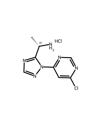 C[C@H](N)c1ncnn1-c1cc(Cl)ncn1.Cl